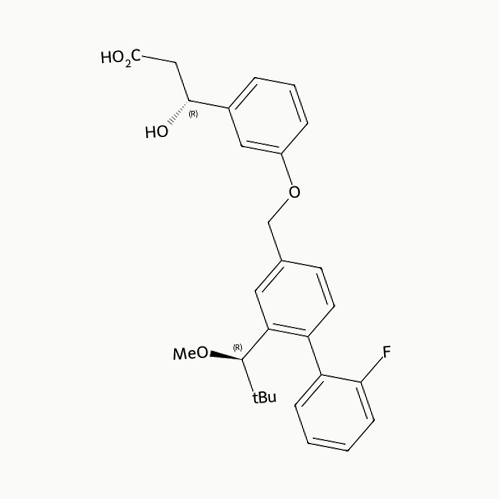 CO[C@@H](c1cc(COc2cccc([C@H](O)CC(=O)O)c2)ccc1-c1ccccc1F)C(C)(C)C